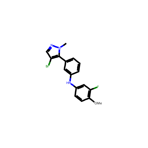 COc1ccc(Nc2cccc(-c3c(Br)cnn3C)c2)cc1F